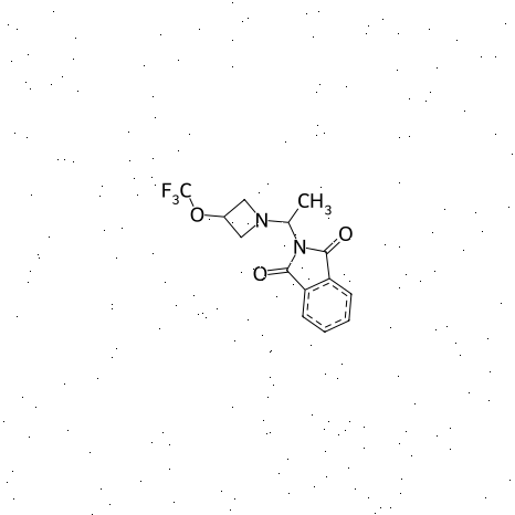 CC(N1CC(OC(F)(F)F)C1)N1C(=O)c2ccccc2C1=O